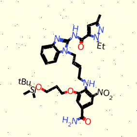 CCn1nc(C)cc1C(=O)Nc1nc2ccccc2n1C/C=C/CNc1c(OCCCO[Si](C)(C)C(C)(C)C)cc(C(N)=O)cc1[N+](=O)[O-]